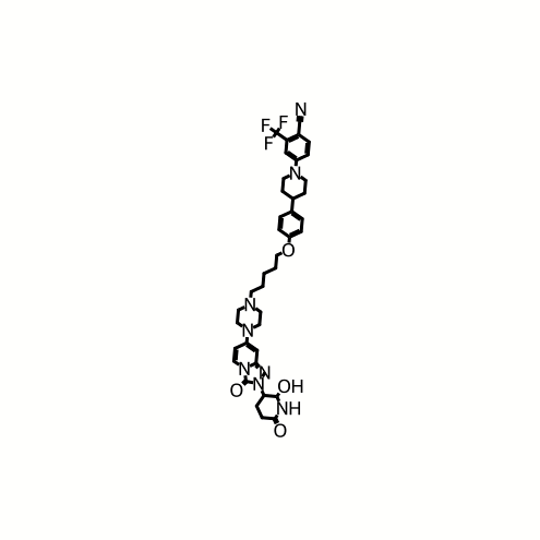 N#Cc1ccc(N2CCC(c3ccc(OCCCCCN4CCN(c5ccn6c(=O)n(C7CCC(=O)NC7O)nc6c5)CC4)cc3)CC2)cc1C(F)(F)F